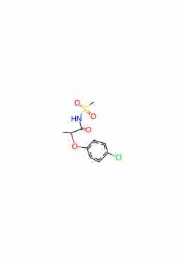 CC(Oc1ccc(Cl)cc1)C(=O)NS(C)(=O)=O